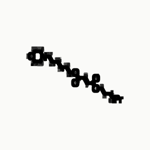 CC(C)CCCOC(=O)/C=C/C(=O)OCCCCCCN1CCOCC1